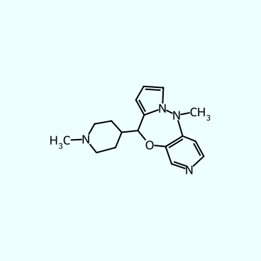 CN1CCC(C2Oc3cnccc3N(C)n3cccc32)CC1